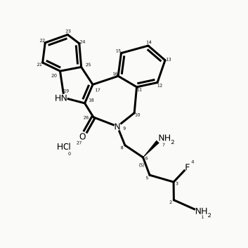 Cl.NCC(F)C[C@H](N)CN1Cc2ccccc2-c2c([nH]c3ccccc23)C1=O